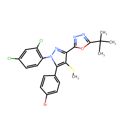 CSc1c(-c2nnc(C(C)(C)C)o2)nn(-c2ccc(Cl)cc2Cl)c1-c1ccc(Br)cc1